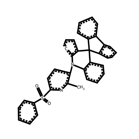 Cc1nc(S(=O)(=O)c2ccccc2)ccc1N1c2ccccc2C2(c3ccccc3-c3ccccc32)c2ccccc21